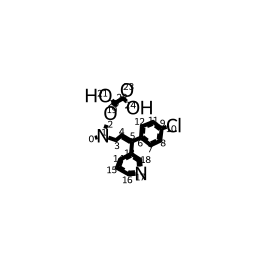 CN(C)C/C=C(/c1ccc(Cl)cc1)c1cccnc1.O=C(O)C(=O)O